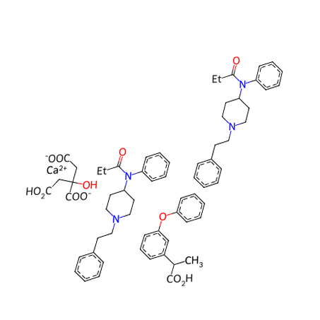 CC(C(=O)O)c1cccc(Oc2ccccc2)c1.CCC(=O)N(c1ccccc1)C1CCN(CCc2ccccc2)CC1.CCC(=O)N(c1ccccc1)C1CCN(CCc2ccccc2)CC1.O=C([O-])CC(O)(CC(=O)O)C(=O)[O-].[Ca+2]